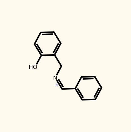 Oc1ccccc1C/N=C\c1ccccc1